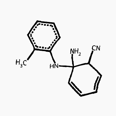 Cc1ccccc1NC1(N)C=CC=CC1C#N